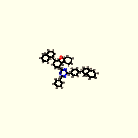 C1=Cc2c(oc3c(-c4cccc5ccccc45)ccc(-c4nc(-c5ccccc5)nc(-c5ccc(-c6ccc7ccccc7c6)cc5)n4)c23)CC1